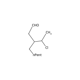 CCCCCCC(CC=O)C(C)Cl